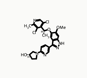 COc1cc2[nH]nc(-c3ccc(N4CC[C@H](O)C4)nc3)c2cc1O[C@H](C)c1c(Cl)cnc(C)c1Cl